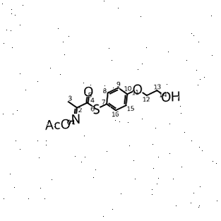 CC(=O)ON=C(C)C(=O)Sc1ccc(OCCO)cc1